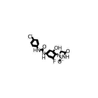 O=C1CN(c2c(O)cc(NC(=O)Nc3ccc(Cl)cc3)cc2F)[S+]([O-])N1